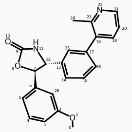 COc1cccc([C@H]2OC(=O)N[C@@H]2c2cccc(-c3cccnc3C)c2)c1